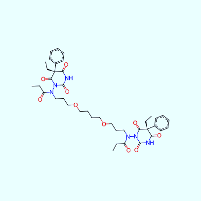 CCC(=O)N(CCCOCCCCOCCCN(C(=O)CC)N1C(=O)NC(=O)[C@@](CC)(c2ccccc2)C1=O)N1C(=O)NC(=O)[C@@](CC)(c2ccccc2)C1=O